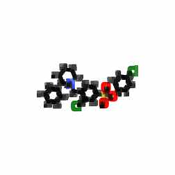 O=S(=O)(Oc1ccc(Cl)cc1)c1ccc(CN2CCCC[C@H]2c2ccccc2)c(Cl)c1